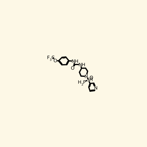 O=C(Nc1ccc(OC(F)(F)F)cc1)NC1CCN([SH](=O)(P)c2cccnc2)CC1